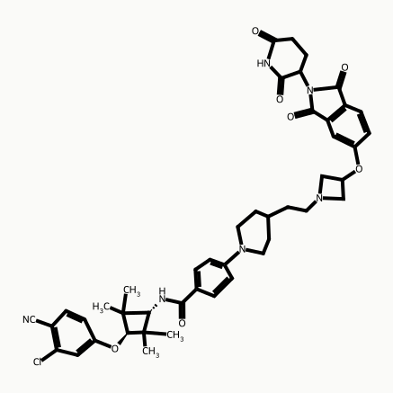 CC1(C)[C@H](NC(=O)c2ccc(N3CCC(CCN4CC(Oc5ccc6c(c5)C(=O)N(C5CCC(=O)NC5=O)C6=O)C4)CC3)cc2)C(C)(C)[C@H]1Oc1ccc(C#N)c(Cl)c1